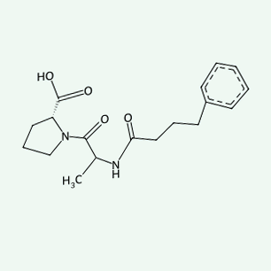 CC(NC(=O)CCCc1ccccc1)C(=O)N1CCC[C@@H]1C(=O)O